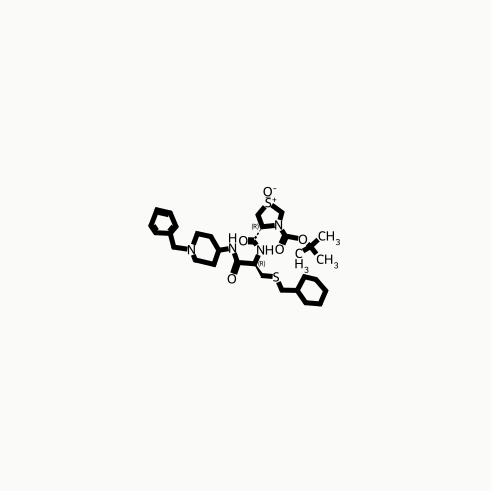 CC(C)(C)OC(=O)N1C[S+]([O-])C[C@H]1C(=O)N[C@@H](CSCC1CCCCC1)C(=O)NC1CCN(Cc2ccccc2)CC1